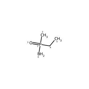 BP(C)(=O)CC